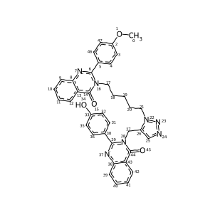 COc1ccc(-c2nc3ccccc3c(=O)n2CCCCCn2nncc2Cn2c(-c3ccc(O)cc3)nc3ccccc3c2=O)cc1